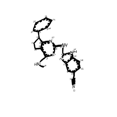 CNc1nc(Nc2nc3cc(C#N)ccc3[nH]2)nc2c1CCC2c1ccccc1